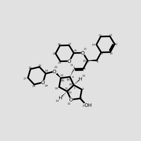 OC1C[C@@H]2[C@@H](C=C[C@H](CC3C=CCCC3)OC3CCCCO3)[C@H](OC3CCCCO3)C[C@@H]2O1